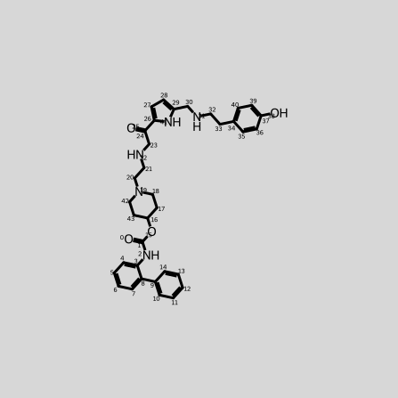 O=C(Nc1ccccc1-c1ccccc1)OC1CCN(CCNCC(=O)c2ccc(CNCCc3ccc(O)cc3)[nH]2)CC1